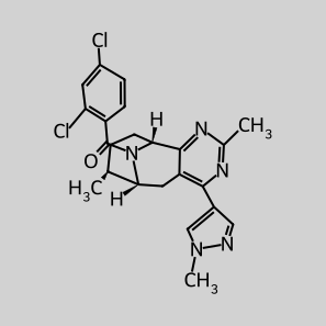 Cc1nc(-c2cnn(C)c2)c2c(n1)[C@H]1CC[C@H](C)[C@@H](C2)N1C(=O)c1ccc(Cl)cc1Cl